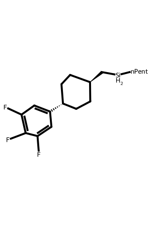 CCCCC[SiH2]C[C@H]1CC[C@H](c2cc(F)c(F)c(F)c2)CC1